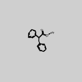 [CH2]CCOC(=O)C(c1ccccc1)c1ccccc1